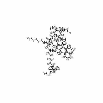 CCCCCCCC/C=C\CCCCCCCCOC(N)=O.COc1cccc2c1C(=O)c1c(O)c3c(c(O)c1C2=O)C[C@@](O)(C(C)=O)C[C@@H]3O[C@H]1C[C@H](N)[C@H](O)[C@H](C)O1